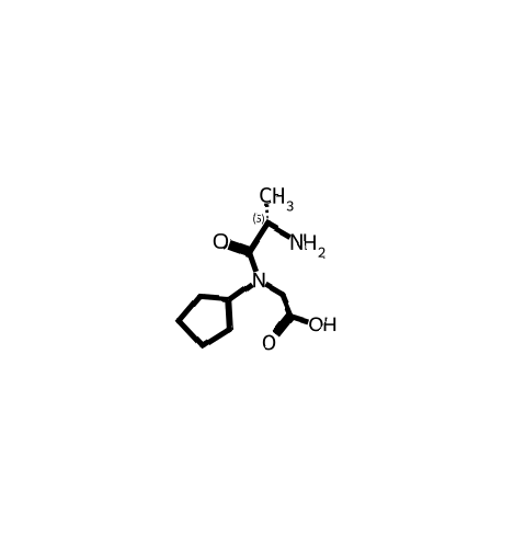 C[C@H](N)C(=O)N(CC(=O)O)C1CCCC1